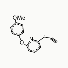 C#C[CH]c1cccc(Oc2ccc(OC)cc2)n1